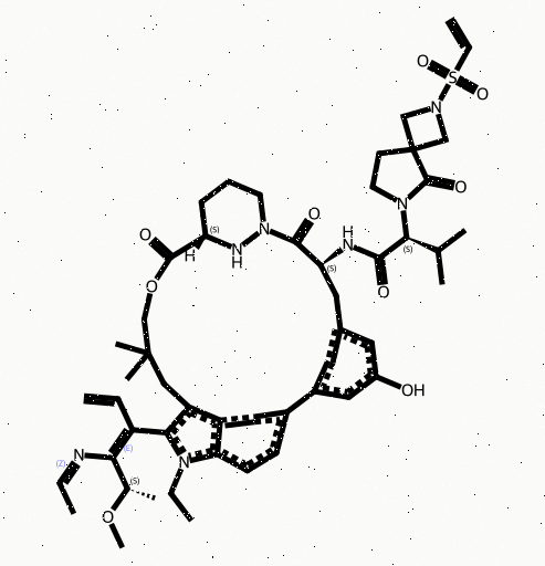 C=C/C(=C(\N=C/C)[C@H](C)OC)c1c2c3cc(ccc3n1CC)-c1cc(O)cc(c1)C[C@H](NC(=O)[C@H](C(C)C)N1CCC3(CN(S(=O)(=O)C=C)C3)C1=O)C(=O)N1CCC[C@H](N1)C(=O)OCC(C)(C)C2